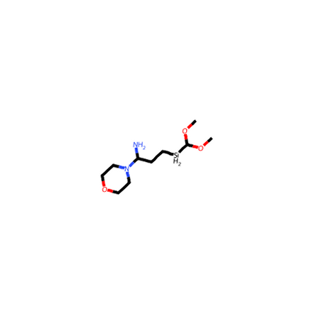 COC(OC)[SiH2]CCC(N)N1CCOCC1